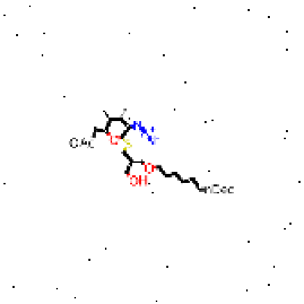 CCCCCCCCCCCCCCCCOC[C@@H](CO)CS[C@H]1OC(COC(C)=O)[C@@H](C)[C@H](C)C1N=[N+]=[N-]